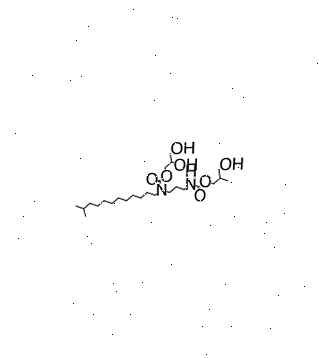 CC(C)CCCCCCCCCCN(CCCNC(=O)OCC(C)CO)C(=O)OCC(O)CO